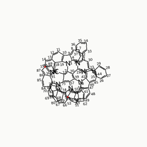 N#Cc1c(-n2c3ccccc3c3ccc4ccccc4c32)c(-c2nc(-c3ccccc3)cc(-c3ccccc3)n2)c(-n2c3ccccc3c3ccc4ccccc4c32)c(-n2c3ccccc3c3ccc4ccccc4c32)c1-n1c2ccccc2c2ccc3ccccc3c21